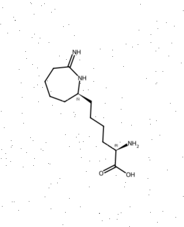 N=C1CCCC[C@H](CCCC[C@@H](N)C(=O)O)N1